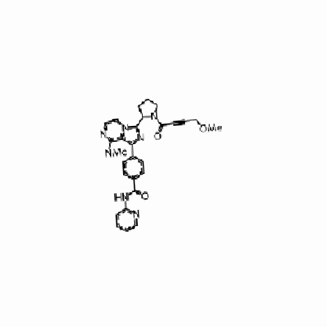 CNc1nccn2c(C3CCCN3C(=O)C#CCOC)nc(-c3ccc(C(=O)Nc4ccccn4)cc3)c12